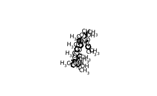 CCC(C(=O)[C@@H](C)[C@@H](O)C1(C)C[C@]12O[C@@H]([C@@H](CC)C(=O)O)CC[C@@H]2C)[C@H]1O[C@]2(C=C[C@@H](NC(=O)N3CCC(C)(C)CC3)[C@]3(CC[C@@](C)([C@H]4CC[C@](O)(CC)[C@H](C)O4)O3)O2)[C@H](C)C[C@@H]1C